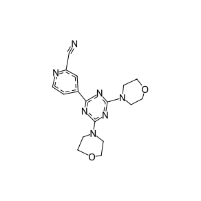 N#Cc1cc(-c2nc(N3CCOCC3)nc(N3CCOCC3)n2)ccn1